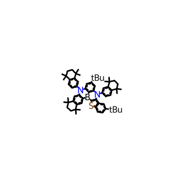 CC(C)(C)c1cc2c3c(c1)N(c1ccc4c(c1)C(C)(C)CCC4(C)C)c1c(sc4ccc(C(C)(C)C)cc14)B3c1cc3c(cc1N2c1ccc2c(c1)C(C)(C)CCC2(C)C)C(C)(C)CCC3(C)C